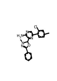 Cc1ccc(-c2cnc(N)c(C3OC(c4ccccc4)=NN3C)n2)c(Cl)c1